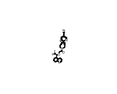 C[C@H]1CC2CN(C(=O)COC(c3cccc4ncccc34)C(F)F)CC1N2c1ccc(C#N)cn1